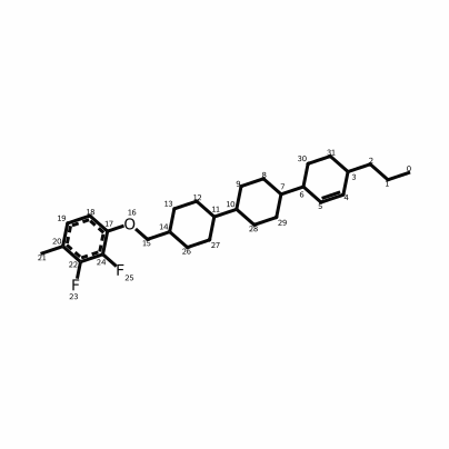 CCCC1C=CC(C2CCC(C3CCC(COc4ccc(C)c(F)c4F)CC3)CC2)CC1